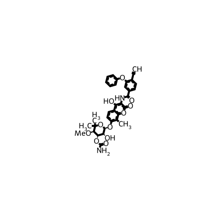 C#Cc1ccc(C(=O)Nc2c(O)c3ccc(O[C@@H]4OC(C)(C)[C@H](OC)[C@@H](OC(N)=O)[C@H]4O)c(C)c3oc2=O)cc1Oc1ccccc1